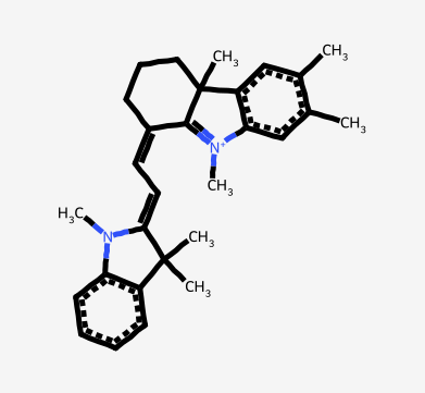 Cc1cc2c(cc1C)C1(C)CCC/C(=C/C=C3\N(C)c4ccccc4C3(C)C)C1=[N+]2C